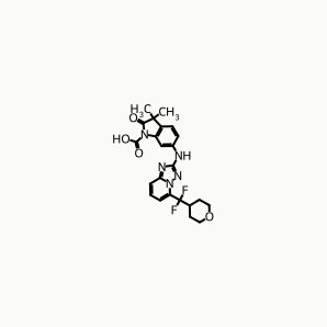 CC1(C)C(=O)N(C(=O)O)c2cc(Nc3nc4cccc(C(F)(F)C5CCOCC5)n4n3)ccc21